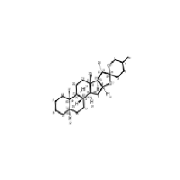 CC1CC[C@@]2(OC1)O[C@H]1C[C@H]3[C@@H]4CC[C@@H]5CCCC[C@]5(C)[C@H]4CC[C@]3(C)[C@@H]1[C@@H]2C